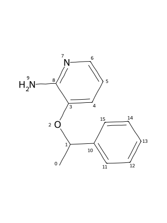 CC(Oc1cccnc1N)c1ccccc1